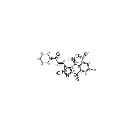 Cc1cc2c(c([N+](=O)[O-])c1)C(=N)c1c(n[n+]([O-])n1/C=C/C(=O)N1CCCCC1)C2=S